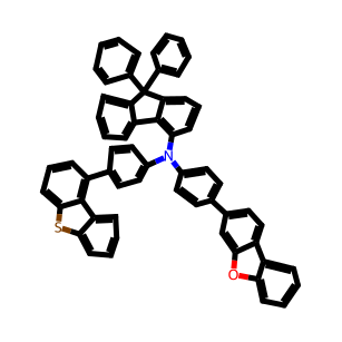 c1ccc(C2(c3ccccc3)c3ccccc3-c3c(N(c4ccc(-c5ccc6c(c5)oc5ccccc56)cc4)c4ccc(-c5cccc6sc7ccccc7c56)cc4)cccc32)cc1